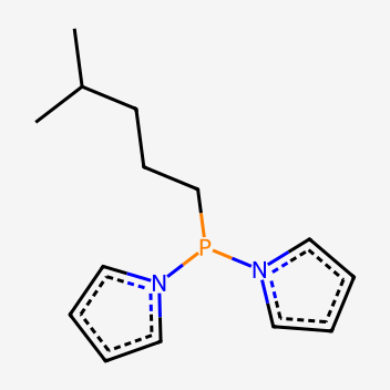 CC(C)CCCP(n1cccc1)n1cccc1